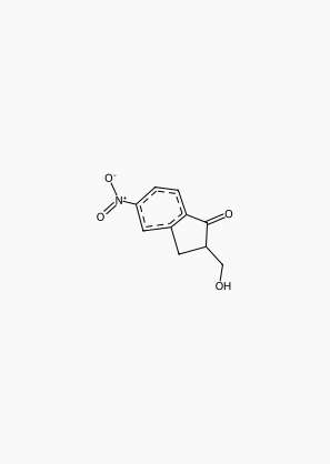 O=C1c2ccc([N+](=O)[O-])cc2CC1CO